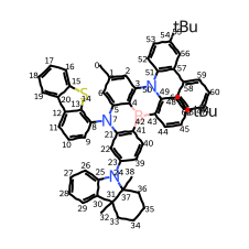 Cc1cc2c3c(c1)N(c1cccc4c1sc1ccccc14)c1cc(N4c5ccccc5C5(C)CCCCC45C)ccc1B3c1ccc(C(C)(C)C)cc1N2c1ccc(C(C)(C)C)cc1-c1ccccc1